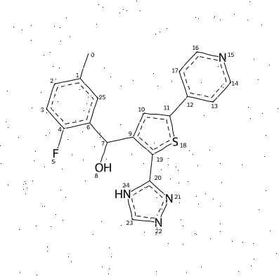 Cc1ccc(F)c(C(O)c2cc(-c3ccncc3)sc2-c2nnc[nH]2)c1